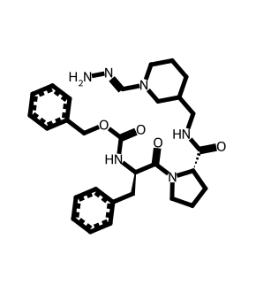 NN=CN1CCCC(CNC(=O)[C@@H]2CCCN2C(=O)[C@@H](Cc2ccccc2)NC(=O)OCc2ccccc2)C1